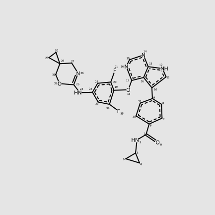 O=C(NC1CC1)c1ccc(-c2c[nH]c3ncnc(Oc4c(F)cc(NC5=NCC6(CC6)CO5)cc4F)c23)cc1